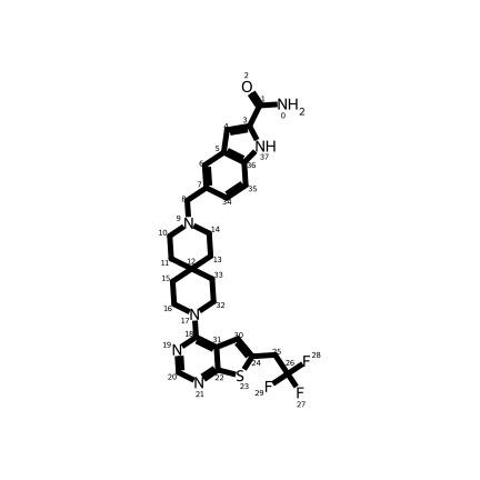 NC(=O)c1cc2cc(CN3CCC4(CC3)CCN(c3ncnc5sc(CC(F)(F)F)cc35)CC4)ccc2[nH]1